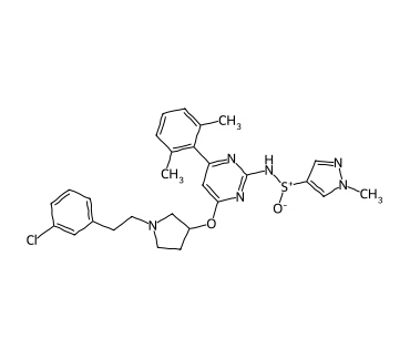 Cc1cccc(C)c1-c1cc(OC2CCN(CCc3cccc(Cl)c3)C2)nc(N[S+]([O-])c2cnn(C)c2)n1